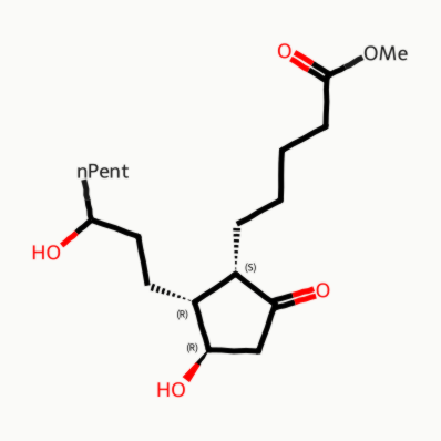 CCCCCC(O)CC[C@H]1[C@H](O)CC(=O)[C@H]1CCCCC(=O)OC